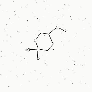 COC1CCP(=O)(O)OC1